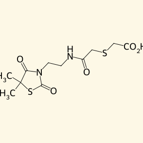 CC1(C)SC(=O)N(CCNC(=O)CSCC(=O)O)C1=O